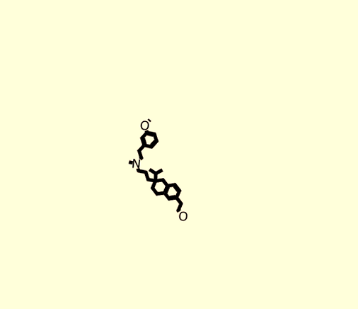 COc1cccc(CCN(C)CCCC2(C(C)C)CCc3cc(CC=O)ccc3C2)c1